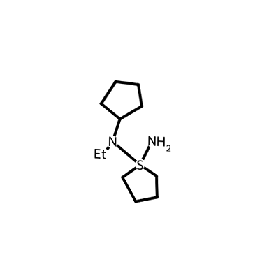 CCN(C1CCCC1)S1(N)CCCC1